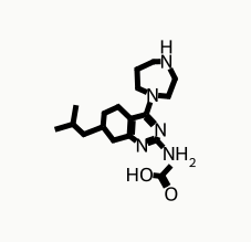 CC(=O)O.CC(C)CC1CCc2c(nc(N)nc2N2CCCNCC2)C1